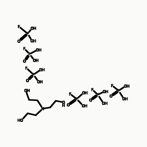 O=P(O)(O)F.O=P(O)(O)F.O=P(O)(O)F.O=P(O)(O)F.O=P(O)(O)F.O=P(O)(O)F.OCCN(CCO)CCO